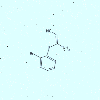 N#C/C=C(/N)Sc1ccccc1Br